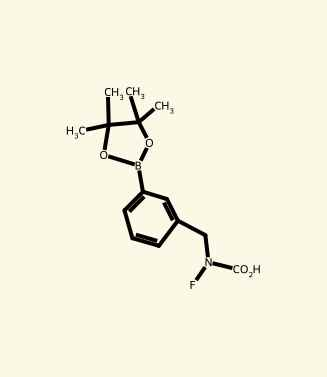 CC1(C)OB(c2cccc(CN(F)C(=O)O)c2)OC1(C)C